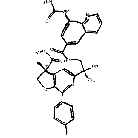 CNC(=O)[C@@]1(C)COc2c1cc([C@@](O)(CNC(=O)c1cc(NC(N)=O)c3ncccc3c1)C(F)(F)F)nc2-c1ccc(F)cc1